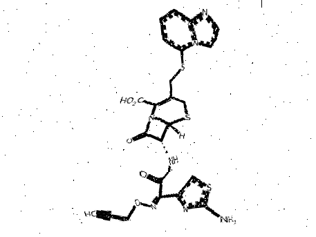 C#CCO/N=C(\C(=O)N[C@@H]1C(=O)N2C(C(=O)O)=C(CSc3cccc4nccn34)CS[C@H]12)c1csc(N)n1